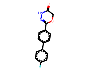 O=C1COC(c2ccc(-c3ccc(F)cc3)cc2)=NN1